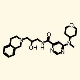 CN(c1cc(C(=O)NCC(O)CN2CCc3ccccc3C2)ncn1)C1CCOCC1